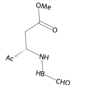 COC(=O)C[C@H](NBC=O)C(C)=O